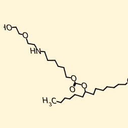 CCCCCCCCC(CCCCCC)OC(=O)OCCCCCCNCCOCCO